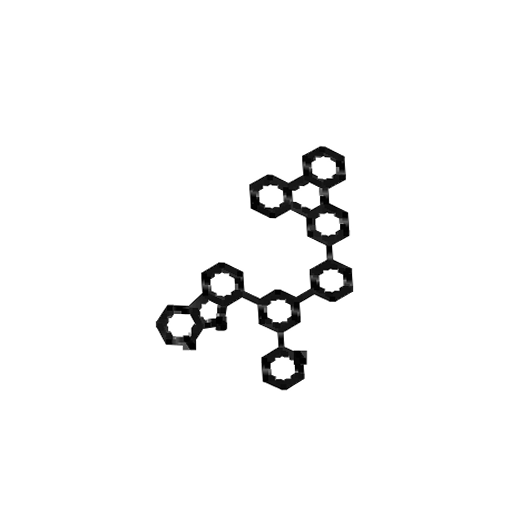 c1ccc(-c2cc(-c3cccc(-c4ccc5c6ccccc6c6ccccc6c5c4)c3)cc(-c3cccc4c3sc3ncccc34)c2)nc1